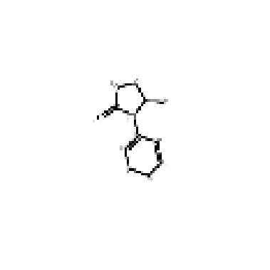 C[C@@H]1COC(=O)N1C1=CCCC=C1